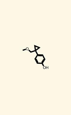 COCC1(c2ccc(O)cc2)CC1